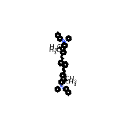 CC1(C)c2cc(/C=C/c3cccc4c(/C=C/c5ccc6c(c5)C(C)(C)c5cc(N(c7ccccc7)c7ccc8ccccc8c7)ccc5-6)cccc34)ccc2-c2ccc(N(c3ccccc3)c3ccc4ccccc4c3)cc21